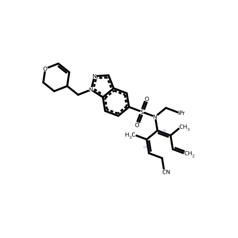 C=C/C(C)=C(\C(C)=C/CC#N)N(CC(C)C)S(=O)(=O)c1ccc2c(cnn2CC2C=COCC2)c1